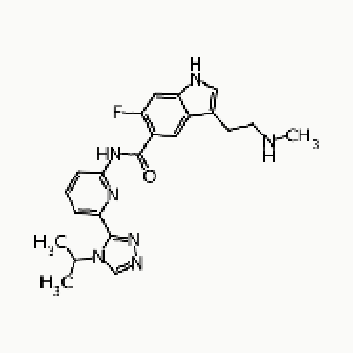 CNCCc1c[nH]c2cc(F)c(C(=O)Nc3cccc(-c4nncn4C(C)C)n3)cc12